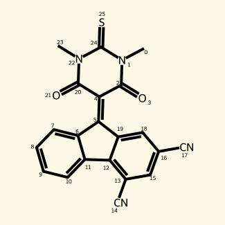 CN1C(=O)C(=C2c3ccccc3-c3c(C#N)cc(C#N)cc32)C(=O)N(C)C1=S